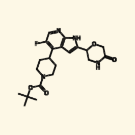 CC(C)(C)OC(=O)N1CCC(c2c(F)cnc3[nH]c(C4CNC(=O)CO4)cc23)CC1